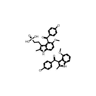 COc1ccc2[nH]c(C)c(CCP(=O)(O)O)c2c1C(=O)c1ccc(Cl)cc1.COc1cccc2[nH]c(C)c(C(=O)c3ccc(Cl)cc3)c12